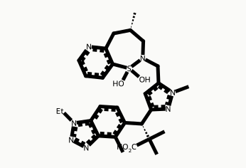 CCn1nnc2c(C)c([C@H](c3cc(CN4C[C@@H](C)Cc5ncccc5S4(O)O)n(C)n3)C(C)(C)C(=O)O)ccc21